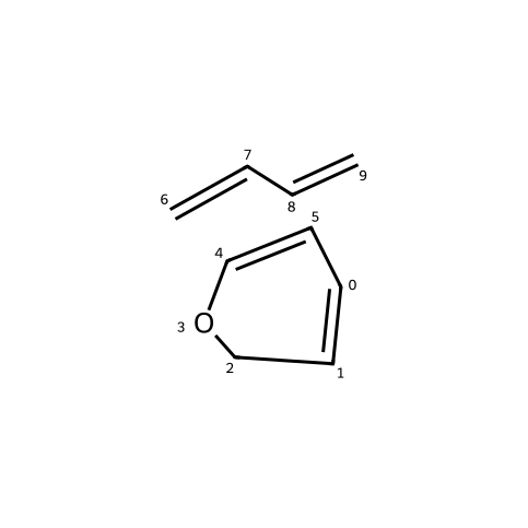 C1=CCOC=C1.C=CC=C